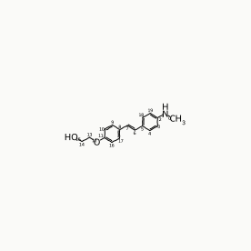 CNc1ccc(/C=C/c2ccc(OCCO)cc2)cc1